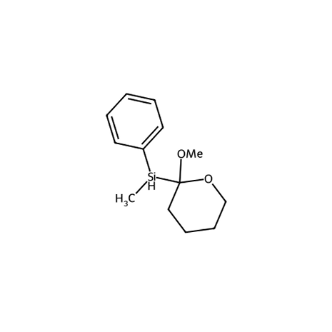 COC1([SiH](C)c2ccccc2)CCCCO1